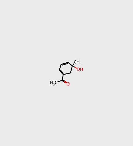 CC(=O)C1=CC=CC(C)(O)C1